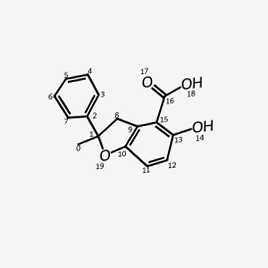 CC1(c2ccccc2)Cc2c(ccc(O)c2C(=O)O)O1